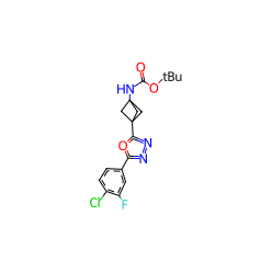 CC(C)(C)OC(=O)NC12CC(c3nnc(-c4ccc(Cl)c(F)c4)o3)(C1)C2